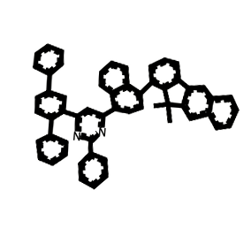 CC1(C)c2cc3ccccc3cc2-c2cccc(-c3ccc(-c4cc(-c5cc(-c6ccccc6)ccc5-c5ccccc5)nc(-c5ccccc5)n4)c4ccccc34)c21